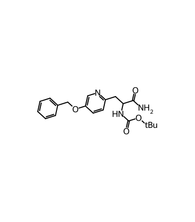 CC(C)(C)OC(=O)NC(Cc1ccc(OCc2ccccc2)cn1)C(N)=O